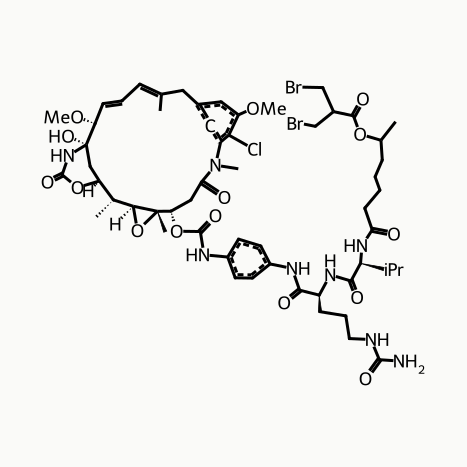 COc1cc2cc(c1Cl)N(C)C(=O)C[C@H](OC(=O)Nc1ccc(NC(=O)[C@H](CCCNC(N)=O)NC(=O)[C@@H](NC(=O)CCCCC(C)OC(=O)C(CBr)CBr)C(C)C)cc1)[C@]1(C)O[C@H]1[C@H](C)[C@@H]1C[C@@](O)(NC(=O)O1)[C@H](OC)/C=C/C=C(\C)C2